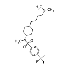 CN(C)CCCC[C@H]1CC[C@H](N(C)S(=O)(=O)c2ccc(C(F)(F)F)cc2)CC1